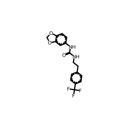 O=C(NCCc1ccc(C(F)(F)F)cc1)Nc1ccc2c(c1)OCO2